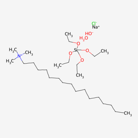 CCCCCCCCCCCCCCCC[N+](C)(C)C.CCO[Si](OCC)(OCC)OCC.O.[Cl-].[Na+].[OH-]